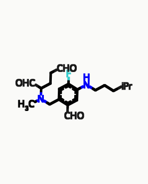 CC(C)CCCNc1cc(C=O)c(CN(C)C(C=O)CCC=O)cc1F